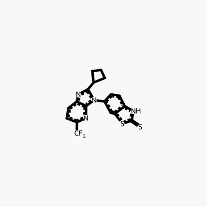 FC(F)(F)c1ccc2nc(C3CCC3)n(-c3ccc4[nH]c(=S)sc4c3)c2n1